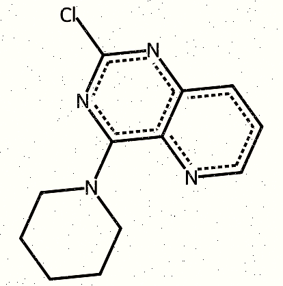 Clc1nc(N2CCCCC2)c2ncccc2n1